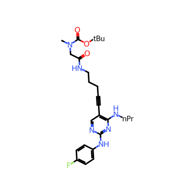 CCCNc1nc(Nc2ccc(F)cc2)ncc1C#CCCCNC(=O)CN(C)C(=O)OC(C)(C)C